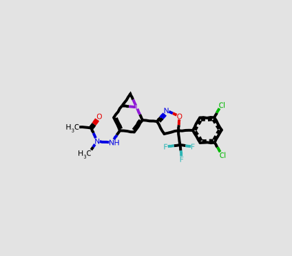 CC(=O)N(C)NC1=CC2CI2C(C2=NOC(c3cc(Cl)cc(Cl)c3)(C(F)(F)F)C2)=C1